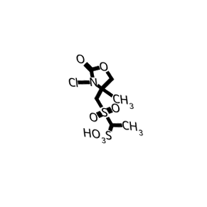 CC(S(=O)(=O)O)S(=O)(=O)CC1(C)COC(=O)N1Cl